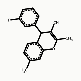 CC1=C(C#N)C(c2cccc(F)c2)c2ccc(C)cc2O1